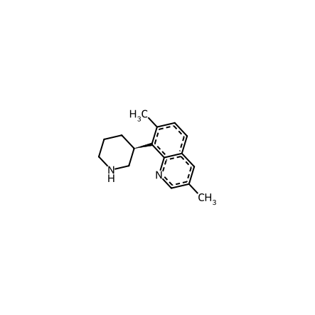 Cc1cnc2c([C@@H]3CCCNC3)c(C)ccc2c1